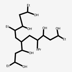 CCCC(CC(CC(CC)C(O)CC(O)CC)C(O)CC(O)CC)C(O)CC(O)CC